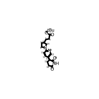 CC(C)(C)OC(=O)CCC1CCN(c2ccc(C3CCC(=O)NC3=O)cn2)C1